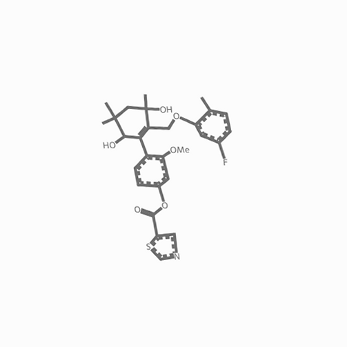 COc1cc(OC(=O)c2cncs2)ccc1C1=C(COc2cc(F)ccc2C)C(C)(O)CC(C)(C)C1O